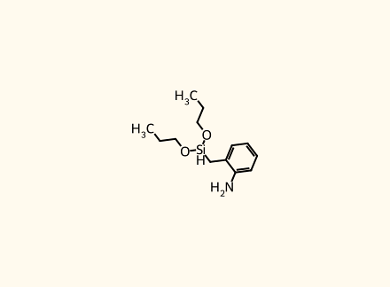 CCCO[SiH](Cc1ccccc1N)OCCC